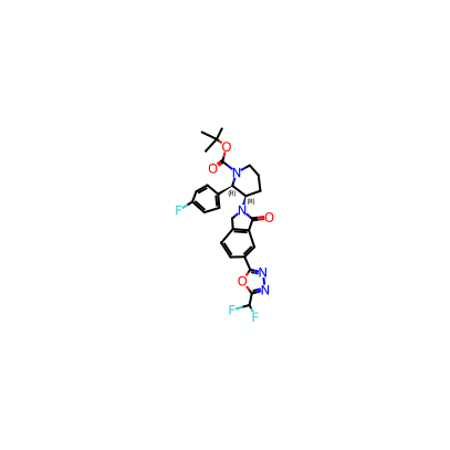 CC(C)(C)OC(=O)N1CCC[C@@H](N2Cc3ccc(-c4nnc(C(F)F)o4)cc3C2=O)[C@H]1c1ccc(F)cc1